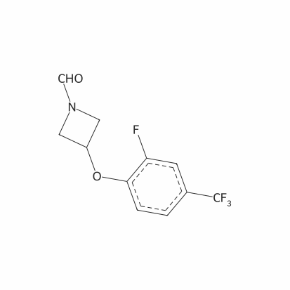 O=CN1CC(Oc2ccc(C(F)(F)F)cc2F)C1